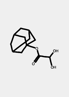 O=C(OC12CC3CC(CC(C3)C1)C2)C(O)O